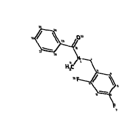 CN(Cc1ccc(F)cc1F)C(=O)c1ccccc1